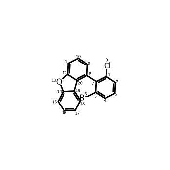 Clc1cccc(Br)c1-c1cccc2oc3ccccc3c12